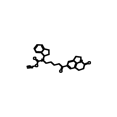 CC(C)(C)OC(=O)N(CCCCC(=O)c1cc2c3c(c1)CCN3C(=O)CC2)C1CCc2ccccc21